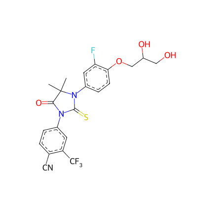 CC1(C)C(=O)N(c2ccc(C#N)c(C(F)(F)F)c2)C(=S)N1c1ccc(OCC(O)CO)c(F)c1